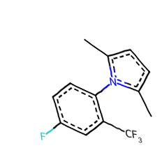 Cc1ccc(C)n1-c1ccc(F)cc1C(F)(F)F